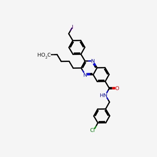 O=C(O)CCCCc1nc2cc(C(=O)NCc3ccc(Cl)cc3)ccc2nc1-c1ccc(CI)cc1